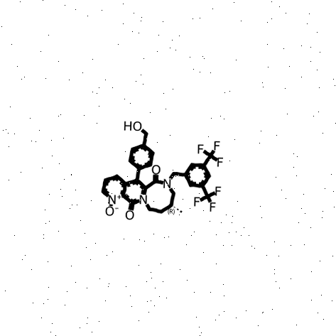 C[C@@H]1CCn2c(c(-c3ccc(CO)cc3)c3ccc[n+]([O-])c3c2=O)C(=O)N(Cc2cc(C(F)(F)F)cc(C(F)(F)F)c2)C1